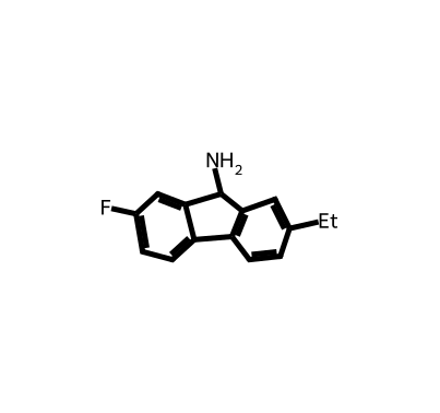 CCc1ccc2c(c1)C(N)c1cc(F)ccc1-2